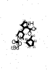 CC(C)(C)OC(=O)N1CCC(c2cc[nH]c2C(=O)OCc2ccccc2)CC1